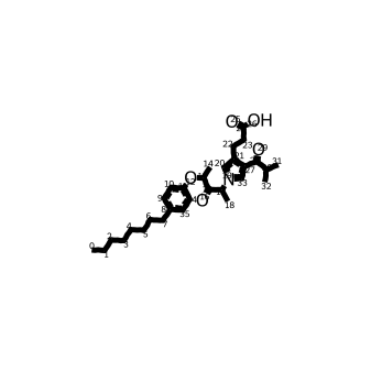 CCCCCCCCc1ccc(OC(C)C(=O)C(C)n2cc(CCC(=O)O)c(C(=O)C(C)C)c2)cc1